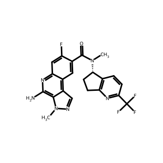 CN(C(=O)c1cc2c(cc1F)nc(N)c1c2cnn1C)[C@H]1CCc2nc(C(F)(F)F)ccc21